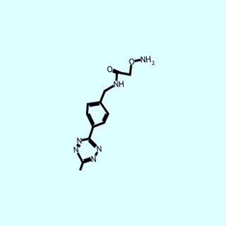 Cc1nnc(-c2ccc(CNC(=O)CON)cc2)nn1